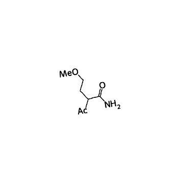 COCCC(C(C)=O)C(N)=O